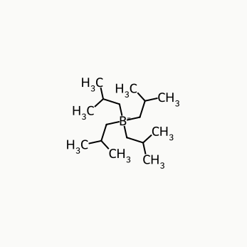 CC(C)C[B-](CC(C)C)(CC(C)C)CC(C)C